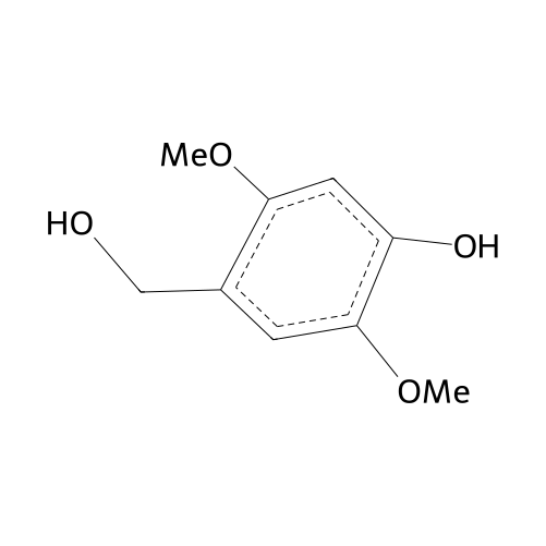 COc1cc(CO)c(OC)cc1O